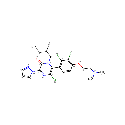 CCC(C)Cn1c(-c2ccc(OCCN(C)C)c(F)c2F)c(Cl)nc(-n2cccn2)c1=O